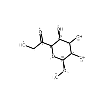 CO[C@H]1OC(C(=O)CO)[C@@H](O)C(O)C1O